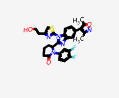 Cc1noc(C)c1-c1ccc2c(c1)nc(C1CCCC(=O)N1c1ccc(F)c(F)c1)n2-c1nc(CCO)cs1